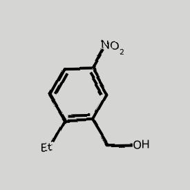 CCc1ccc([N+](=O)[O-])cc1CO